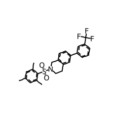 Cc1cc(C)c(S(=O)(=O)N2CCc3cc(-c4cccc(C(F)(F)F)c4)ccc3C2)c(C)c1